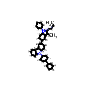 C=c1/c(=C\C=C/C)n(-c2ccccc2)c2ccc(-c3ccc4c(c3)c3ccccc3n4-c3ccc(-c4ccccc4)cc3)cc12